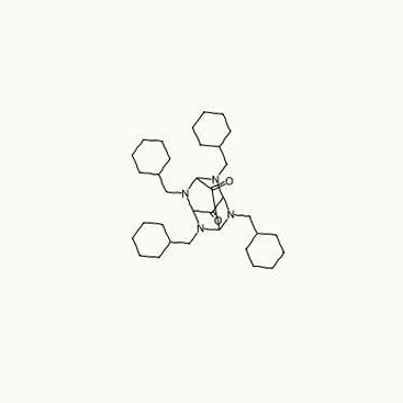 O=C1C2N(CC3CCCCC3)C3C(=O)C(N2CC2CCCCC2)N(CC2CCCCC2)C1N3CC1CCCCC1